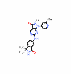 CC(C)n1c(=O)c2cnc(Nc3ccc4c(c3)C(=O)NC4(C)C)nc2n1-c1ccnc(C(C)(C)C)c1